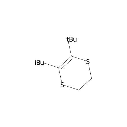 CCC(C)C1=C(C(C)(C)C)SCCS1